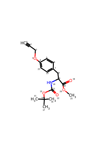 C#CCOc1ccc(CC(NC(=O)OC(C)(C)C)C(=O)OC)cc1